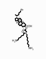 CC(C)CCCC(C)[C@H]1CC[C@H]2[C@@H]3CC=C4C[C@@H](OC(=O)CN(CCCCCCCCN)C(=O)CCCCCN)CC[C@]4(C)[C@H]3CC[C@]12C.Cl.Cl